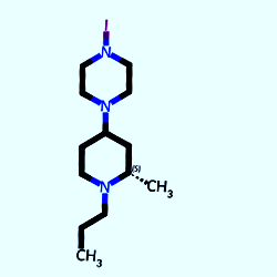 CCCN1CCC(N2CCN(I)CC2)C[C@@H]1C